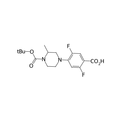 CC1CN(c2cc(F)c(C(=O)O)cc2F)CCN1C(=O)OC(C)(C)C